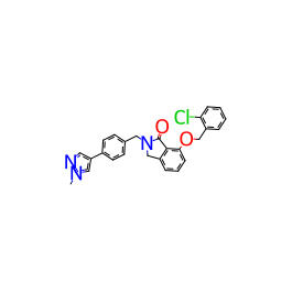 Cn1cc(-c2ccc(CN3Cc4cccc(OCc5ccccc5Cl)c4C3=O)cc2)cn1